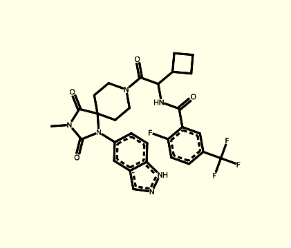 CN1C(=O)N(c2ccc3[nH]ncc3c2)C2(CCN(C(=O)C(NC(=O)c3cc(C(F)(F)F)ccc3F)C3CCC3)CC2)C1=O